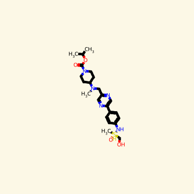 CC(C)OC(=O)N1CCC(N(C)Cc2cnc(-c3ccc(N[SH](C)(=O)CO)cc3)cn2)CC1